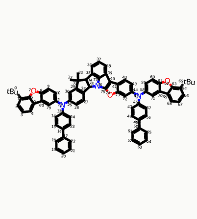 CC(C)(C)c1cccc2c1oc1ccc(N(c3ccc(-c4ccccc4)cc3)c3ccc4c(c3)C(C)(C)C3c5cccc6c7c8ccc(N(c9ccc(-c%10ccccc%10)cc9)c9ccc%10oc%11c(C(C)(C)C)cccc%11c%10c9)cc8oc7n(c56)C43)cc12